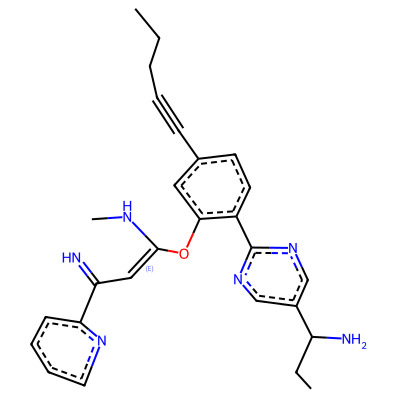 CCCC#Cc1ccc(-c2ncc(C(N)CC)cn2)c(O/C(=C/C(=N)c2ccccn2)NC)c1